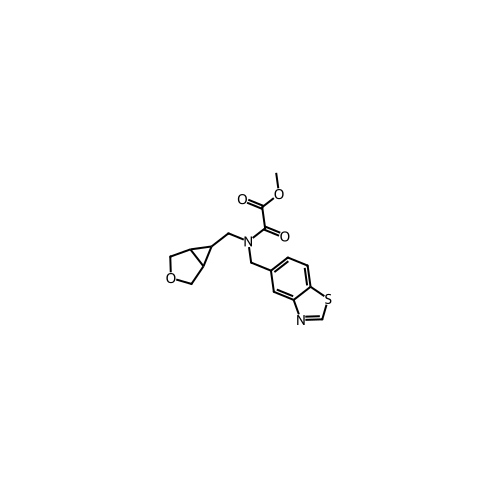 COC(=O)C(=O)N(Cc1ccc2scnc2c1)CC1C2COCC21